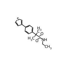 CCNS(=O)(=O)C(C)(C)c1ccc(-c2ccsc2)cc1